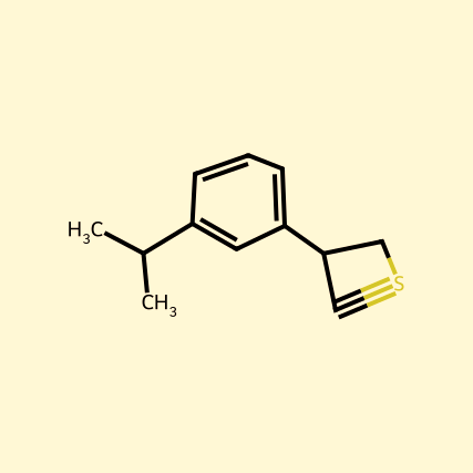 CC(C)c1cccc(C2C#SC2)c1